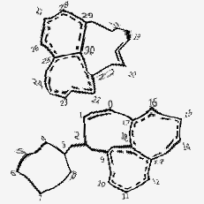 C1=CC(C2CCCCC2)c2cccc3cccc1c23.C1=Cc2cccc3cccc(c23)C1